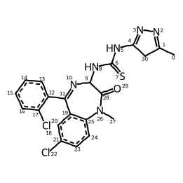 CC1=NN=C(NC(=S)NC2N=C(c3ccccc3Cl)c3cc(Cl)ccc3N(C)C2=O)C1